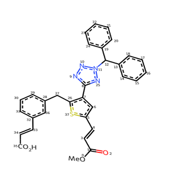 COC(=O)C=Cc1cc(-c2nnn(C(c3ccccc3)c3ccccc3)n2)c(Cc2cccc(C=CC(=O)O)c2)s1